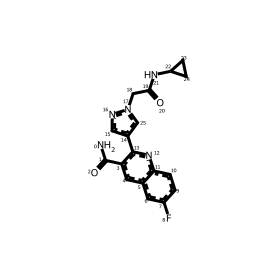 NC(=O)c1cc2cc(F)ccc2nc1-c1cnn(CC(=O)NC2CC2)c1